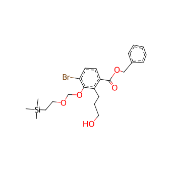 C[Si](C)(C)CCOCOc1c(Br)ccc(C(=O)OCc2ccccc2)c1CCCO